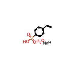 C=Cc1ccc(S(=O)(=O)O)cc1.O.[NaH]